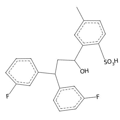 Cc1ccc(S(=O)(=O)O)c(C(O)CC(c2cccc(F)c2)c2cccc(F)c2)c1